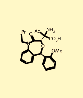 COc1ccccc1[C@@H]1O[C@@H](C(N)(C(C)=O)C(=O)O)C(=O)N(CC(C)C)c2ccccc21